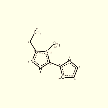 CCc1nnc(-c2ncco2)n1C